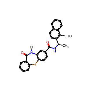 CCN1C(=O)c2ccccc2Sc2ccc(C(=O)N[C@H](C)c3ccc4ccccc4c3C=O)cc21